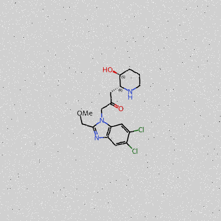 COCc1nc2cc(Cl)c(Cl)cc2n1CC(=O)C[C@H]1NCCC[C@@H]1O